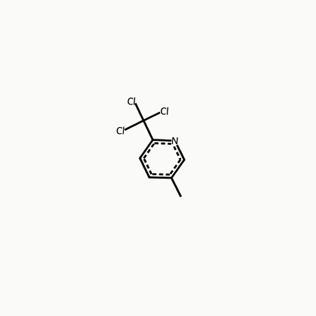 Cc1ccc(C(Cl)(Cl)Cl)nc1